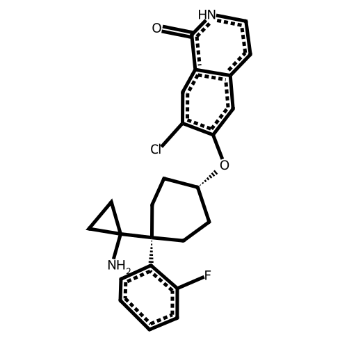 NC1([C@]2(c3ccccc3F)CC[C@@H](Oc3cc4cc[nH]c(=O)c4cc3Cl)CC2)CC1